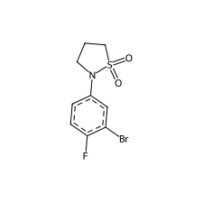 O=S1(=O)CCCN1c1ccc(F)c(Br)c1